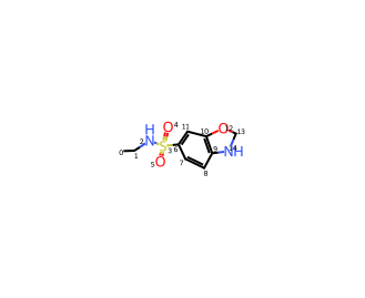 CCNS(=O)(=O)c1ccc2c(c1)OCN2